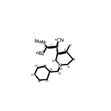 CCCC/C(NC)=C(/C#N)C1=C(C)CCN(CC2CCCCC2)C1